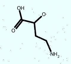 NCCC([O])C(=O)O